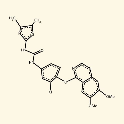 COc1cc2ncnc(Oc3ccc(NC(=O)Nc4nc(C)c(C)s4)cc3Cl)c2cc1OC